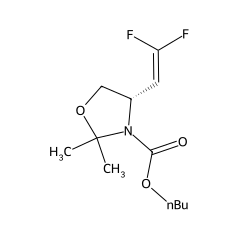 CCCCOC(=O)N1[C@@H](C=C(F)F)COC1(C)C